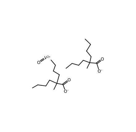 CCCCC(C)(CCCC)C(=O)[O-].CCCCC(C)(CCCC)C(=O)[O-].[O]=[V+2]